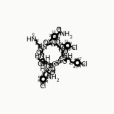 CNCCCC[C@@H]1NC(=O)[C@@H](Cc2ccc(C(N)=O)cc2)NC(=O)[C@H](Cc2ccc(Cl)cc2)NC(=O)[C@H](NC(=O)CCc2ccc(Cl)cc2)CSSC[C@@H](C(=O)N[C@H](Cc2ccc(Cl)cc2)C(N)=O)NC(=O)C(C(C)O)NC1=O